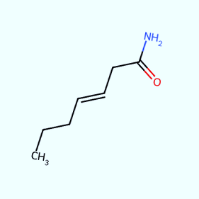 CCCC=CCC(N)=O